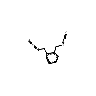 S=C=NCc1ccccc1CN=C=S